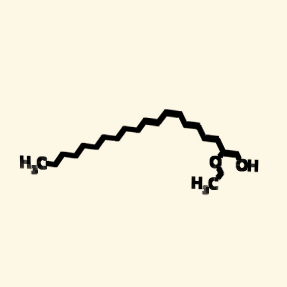 CCCCCCCCCC/C=C/C=C\C=C\C=C\C(=C\O)OCC